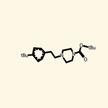 CC(C)(C)OC(=O)N1CCN(CCc2ccc(C(C)(C)C)cc2)CC1